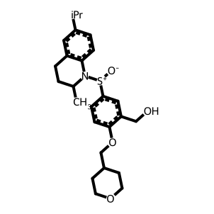 CC(C)c1ccc2c(c1)CCC(C)N2[S+]([O-])c1ccc(OCC2CCOCC2)c(CO)c1